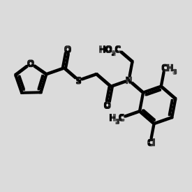 Cc1ccc(Cl)c(C)c1N(CC(=O)O)C(=O)CSC(=O)c1ccco1